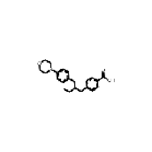 CCC(Cc1ccc(C(=O)O)cc1)Cc1ccc(N2CCOCC2)cc1